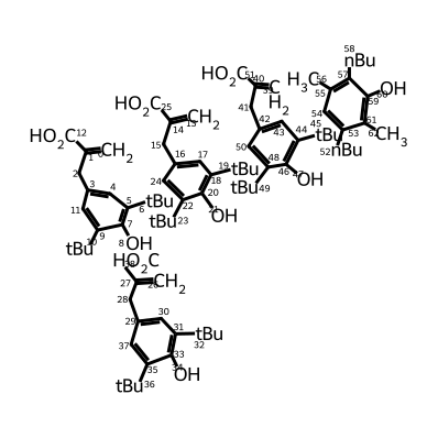 C=C(Cc1cc(C(C)(C)C)c(O)c(C(C)(C)C)c1)C(=O)O.C=C(Cc1cc(C(C)(C)C)c(O)c(C(C)(C)C)c1)C(=O)O.C=C(Cc1cc(C(C)(C)C)c(O)c(C(C)(C)C)c1)C(=O)O.C=C(Cc1cc(C(C)(C)C)c(O)c(C(C)(C)C)c1)C(=O)O.CCCCc1cc(C)c(CCCC)c(O)c1C